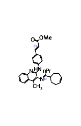 CCC/C(=N\c1c(Nc2ccc(/C=C/C(=O)OC)cc2)nc2ccccc2c1C)C1CCC=CCC1